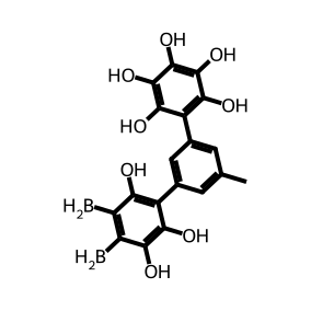 Bc1c(B)c(O)c(-c2cc(C)cc(-c3c(O)c(O)c(O)c(O)c3O)c2)c(O)c1O